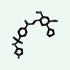 COc1cc(OC)c(-c2cccs2)cc1/C=C/C(=O)c1ccc(S(=O)(=O)Nc2cc[nH]n2)cc1